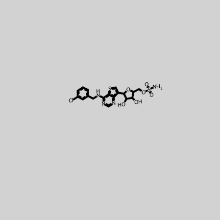 NS(=O)(=O)OCC1OC(c2csc3c(NCc4cccc(Cl)c4)ncnc23)C(O)C1O